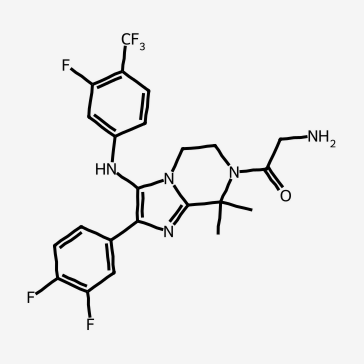 CC1(C)c2nc(-c3ccc(F)c(F)c3)c(Nc3ccc(C(F)(F)F)c(F)c3)n2CCN1C(=O)CN